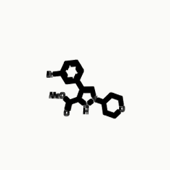 COC(=O)C1NN(C2CCOCC2)C=C1c1cccc(Br)c1